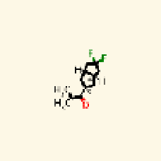 CC(C)C(=O)[C@@H]1C[C@@H]2CC(F)(F)C[C@@H]2C1